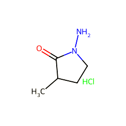 CC1CCN(N)C1=O.Cl